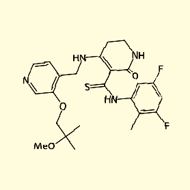 COC(C)(C)COc1cnccc1CNC1=C(C(=S)Nc2cc(F)cc(F)c2C)C(=O)NCC1